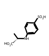 C[C@H](Nc1ccc(S(=O)(=O)O)cc1)C(=O)O